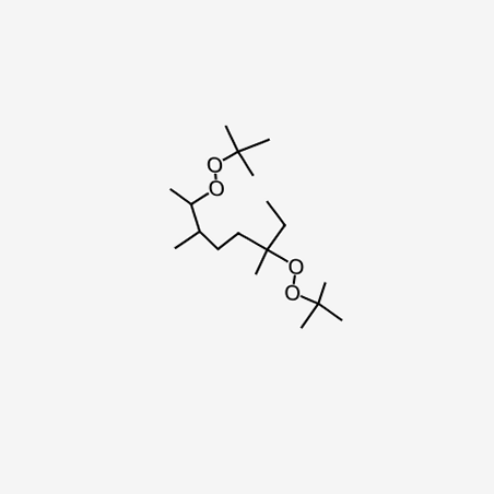 CCC(C)(CCC(C)C(C)OOC(C)(C)C)OOC(C)(C)C